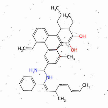 C=Cc1cccc(-c2c(CCC)c(O)c(O)c(CC)c2CCC)c1-c1cc(C(N)N/C(=C\C(C)/C=C\C=C/C)C2=CC=CCC2)ccc1C